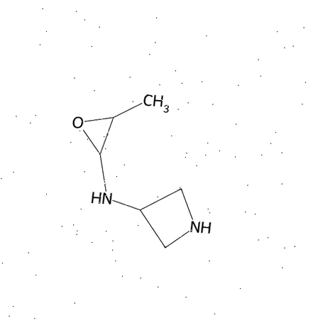 CC1OC1NC1CNC1